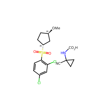 CO[C@@H]1CC[C@@H](S(=O)(=O)c2ccc(Cl)cc2Cl)C1.N#CC1(NC(=O)O)CC1